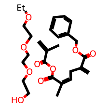 C=C(C)C(=O)OC(=O)C(C)=CCC(=C)C(=O)OCc1ccccc1.CCOCCOCCOCCO